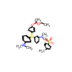 CCOC(C)Oc1ccc([S+](c2cccc(N(C)C)c2)c2cccc(N(C)C)c2)cc1.Cc1ccc(S(=O)(=O)[O-])cc1